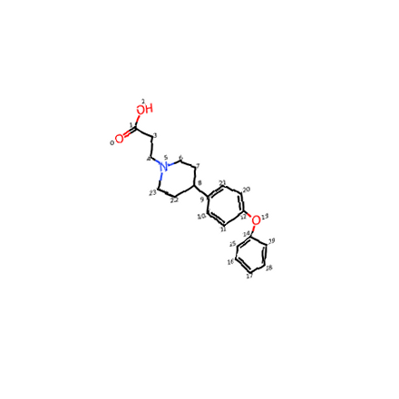 O=C(O)CCN1CCC(c2ccc(Oc3ccccc3)cc2)CC1